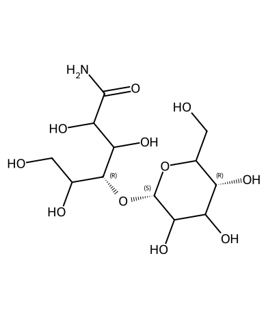 NC(=O)C(O)C(O)[C@H](O[C@@H]1OC(CO)[C@H](O)C(O)C1O)C(O)CO